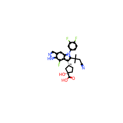 CC(C)(CC#N)c1c([C@@H]2CC[C@@](O)(C(=O)O)C2)c2c(F)c3[nH]ncc3cc2n1-c1ccc(F)c(F)c1